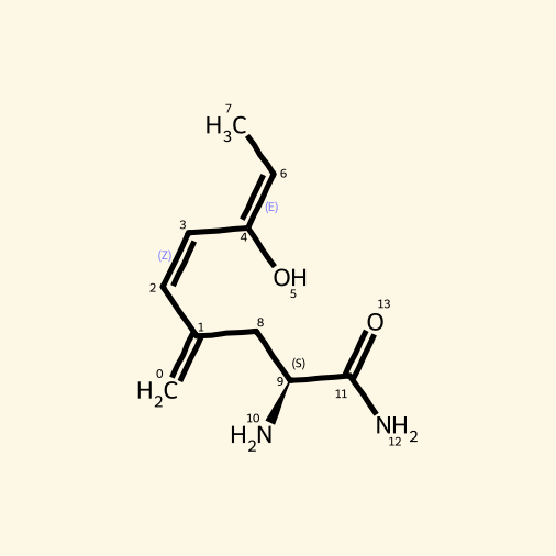 C=C(/C=C\C(O)=C/C)C[C@H](N)C(N)=O